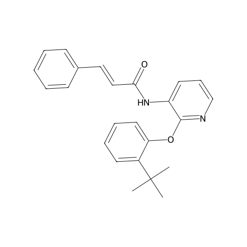 CC(C)(C)c1ccccc1Oc1ncccc1NC(=O)C=Cc1ccccc1